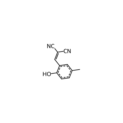 Cc1ccc(O)c(C=C(C#N)C#N)c1